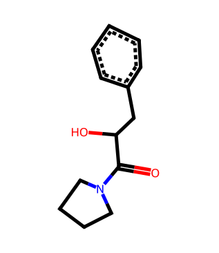 O=C(C(O)Cc1ccccc1)N1CCCC1